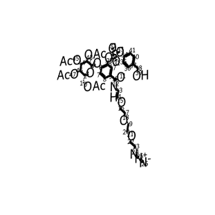 CC(=O)OC[C@H]1OC(Oc2ccc(C(=O)NCCOCCOCCOCCN=[N+]=[N-])cc2OS(=O)(=O)Oc2ccc(CO)cc2)[C@@H](OC(C)=O)[C@@H](OC(C)=O)[C@H]1OC(C)=O